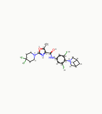 CCc1oc(N2CCC(F)(F)CC2)nc1C(=O)Nc1cc(F)c(N2CC3CC(C3)C2)c(F)c1